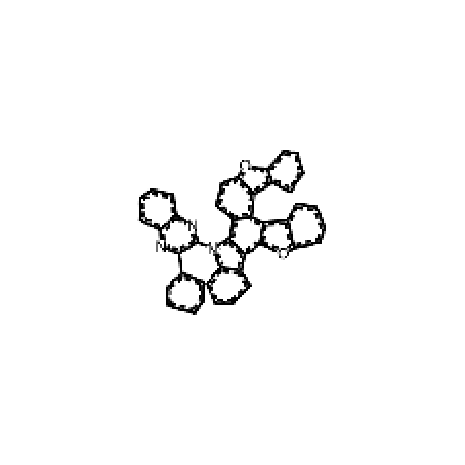 c1ccc(-c2nc3ccccc3nc2-n2c3ccccc3c3c4oc5ccccc5c4c4c(ccc5oc6ccccc6c54)c32)cc1